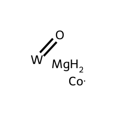 [Co].[MgH2].[O]=[W]